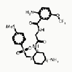 CSc1ccc(S(=O)(=O)C[C@@H]2CC[C@@H](N)C[C@@H]2NC(=O)CNC(=O)c2cc(OC(F)(F)F)ccc2N)cc1